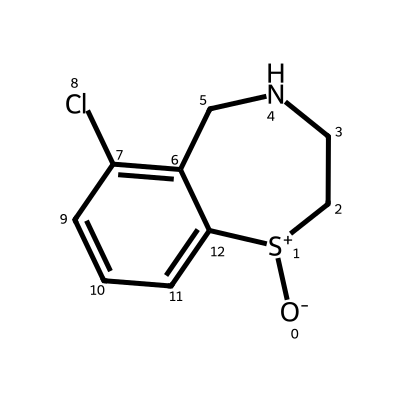 [O-][S+]1CCNCc2c(Cl)cccc21